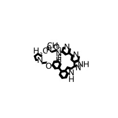 CN(C)CC(=O)Nc1cncc(-c2cc3c(-c4cc5c(-c6cc(F)cc(OCCN7CCCC7)c6)cccc5[nH]4)n[nH]c3cn2)c1